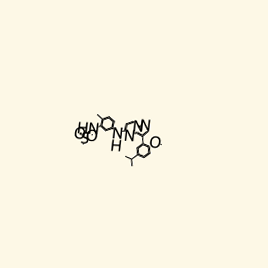 COc1ccc(C(C)C)cc1-c1cnn2ccc(Nc3ccc(C)c(NOS(C)=O)c3)nc12